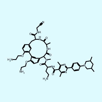 Cc1nc(-c2ccc(N3CC(C)CC(C)C3)cc2)nc(C)c1C(=O)NC(CCN)C(=O)N(C)C1C(=O)NC(C)C(=O)NC(C(=O)NCC#N)Cc2ccc(OCCN)c(c2)-c2cc1ccc2OCCN